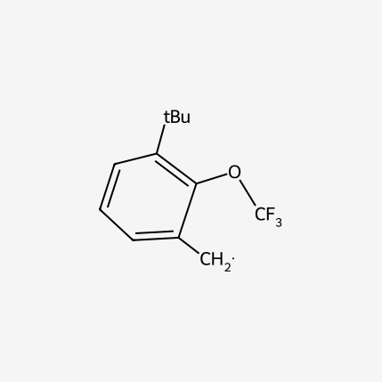 [CH2]c1cccc(C(C)(C)C)c1OC(F)(F)F